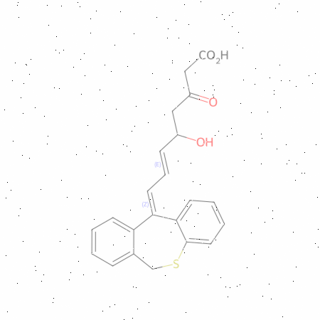 O=C(O)CC(=O)CC(O)/C=C/C=C1/c2ccccc2CSc2ccccc21